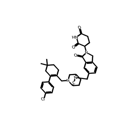 CC1(C)CCC(CN2CC3CCC2CN3Cc2ccc3c(c2)C(=O)N(C2CCC(=O)NC2=O)C3)=C(c2ccc(Cl)cc2)C1